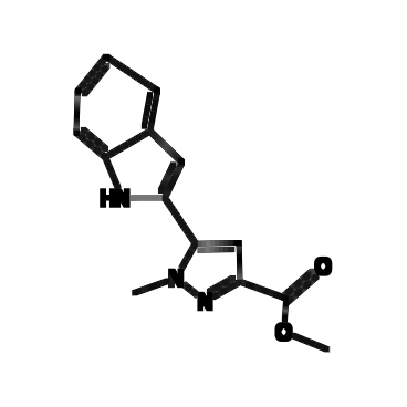 COC(=O)c1cc(-c2cc3ccccc3[nH]2)n(C)n1